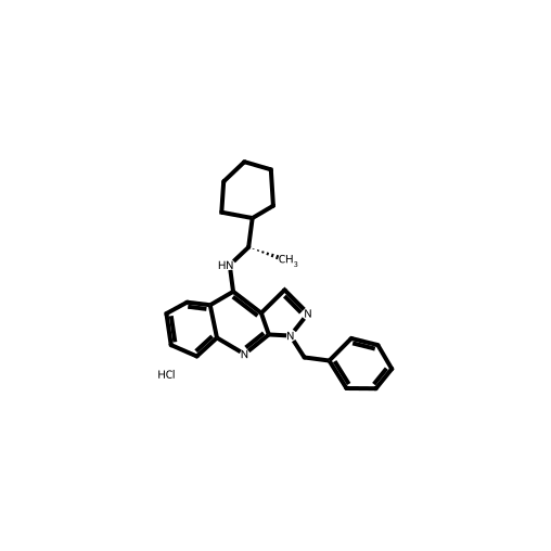 C[C@H](Nc1c2ccccc2nc2c1cnn2Cc1ccccc1)C1CCCCC1.Cl